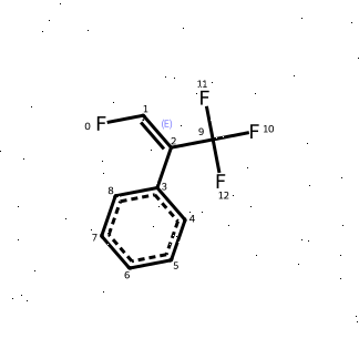 F/[C]=C(\c1ccccc1)C(F)(F)F